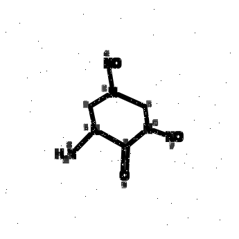 NN1CN(N=O)CN(N=O)C1=O